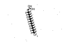 OB(O)OC(F)(F)C(F)(F)C(F)(F)C(F)(F)C(F)(F)C(F)(F)C(F)(F)C(F)(F)C(F)(F)C(F)(F)C(F)(F)F